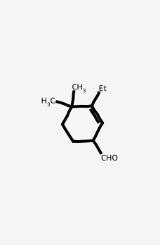 CCC1=CC(C=O)CCC1(C)C